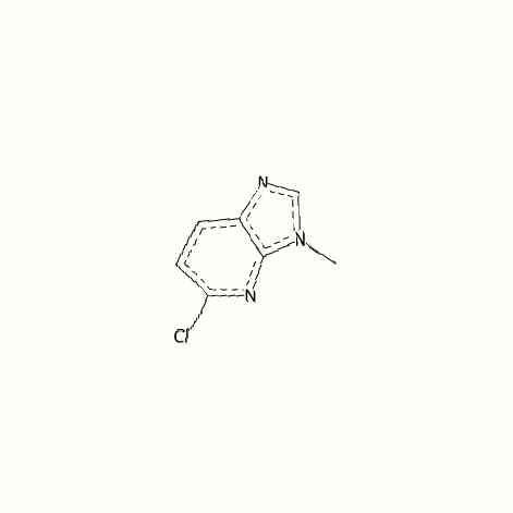 Cn1cnc2ccc(Cl)nc21